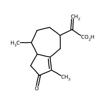 C=C(C(=O)O)C1CCC(C)C2CC(=O)C(C)=C2C1